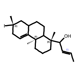 C/C=C/C(O)[C@]1(C)CCC[C@@]2(C)C3=CC[C@](C)(I)CC3CCC12